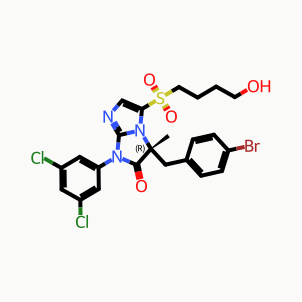 C[C@@]1(Cc2ccc(Br)cc2)C(=O)N(c2cc(Cl)cc(Cl)c2)c2ncc(S(=O)(=O)CCCCO)n21